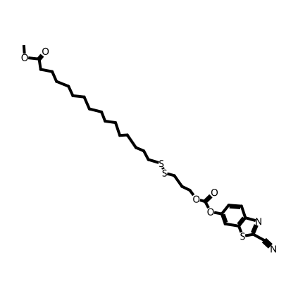 COC(=O)CCCCCCCCCCCCCCCSSCCCOC(=O)Oc1ccc2nc(C#N)sc2c1